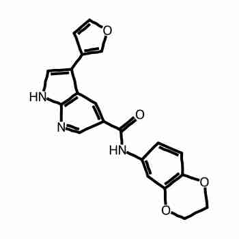 O=C(Nc1ccc2c(c1)OCCO2)c1cnc2[nH]cc(-c3ccoc3)c2c1